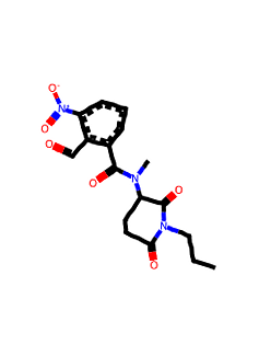 CCCN1C(=O)CCC(N(C)C(=O)c2cccc([N+](=O)[O-])c2C=O)C1=O